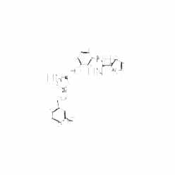 N=C(Nc1cccc(OC[C@@H]2C[C@@H](OCc3cccc(F)c3)CN2)c1)c1cccs1